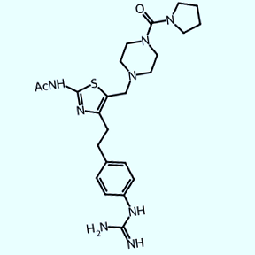 CC(=O)Nc1nc(CCc2ccc(NC(=N)N)cc2)c(CN2CCN(C(=O)N3CCCC3)CC2)s1